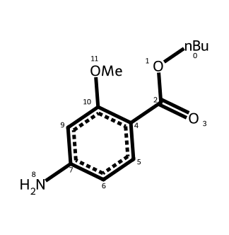 CCCCOC(=O)c1ccc(N)cc1OC